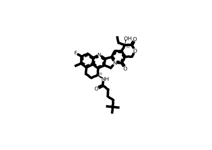 CC[C@@]1(O)C(=O)OCc2c1cc1n(c2=O)Cc2c-1nc1cc(F)c(C)c3c1c2[C@@H](NC(=O)CCCC(C)(C)C)CC3